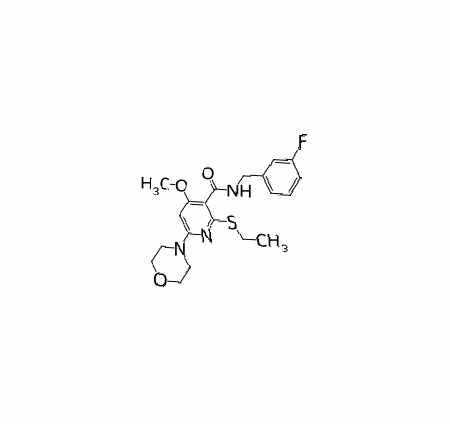 CCSc1nc(N2CCOCC2)cc(OC)c1C(=O)NCc1cccc(F)c1